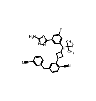 CC(C)(F)[C@H](c1cc(F)cc(-c2nnc(N)o2)c1)C1CN(c2cc(Cc3cccc(C#N)c3)ccc2C#N)C1